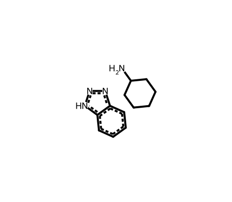 NC1CCCCC1.c1ccc2[nH]nnc2c1